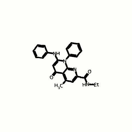 CCNC(=O)c1cc(C)c2c(=O)cc(Nc3ccccc3)n(-c3ccccc3)c2n1